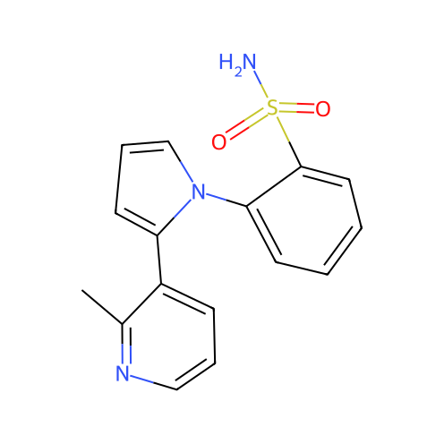 Cc1ncccc1-c1cccn1-c1ccccc1S(N)(=O)=O